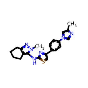 Cc1cn(-c2ccc(-c3csc(Nc4c5c(nn4C)CCCC5)n3)cc2)cn1